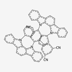 N#Cc1cc(C#N)cc(-c2cc(-n3c4ccccc4c4ccc5c6ccccc6n(-c6ccccc6)c5c43)c(C#N)cc2-n2c3ccccc3c3ccc4c5ccccc5n(-c5ccccc5)c4c32)c1